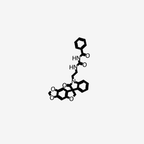 O=C(NCCN1C(=O)C2(COc3cc4c(cc32)OCO4)c2ccccc21)NC(=O)c1ccccc1